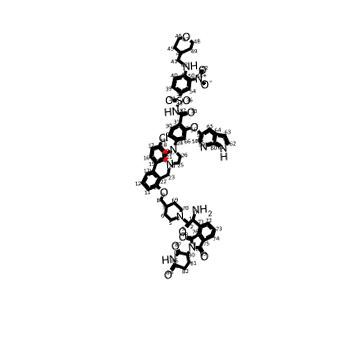 NC(C(=O)N1CCC(COc2cccc(-c3ccc(Cl)cc3)c2CN2CCN(c3ccc(C(=O)NS(=O)(=O)c4ccc(NCC5CCOCC5)c([N+](=O)[O-])c4)c(Oc4cnc5[nH]ccc5c4)c3)CC2)CC1)c1cccc2c1C(=O)N(C1CCC(=O)NC1=O)C2=O